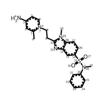 Cc1cc(N)cc[n+]1CCc1nc2cc(S(=O)(=O)N(C)c3ccccc3)ccc2n1C